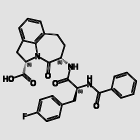 O=C(N[C@@H](Cc1ccc(F)cc1)C(=O)N[C@H]1CCc2cccc3c2N(C1=O)[C@H](C(=O)O)C3)c1ccccc1